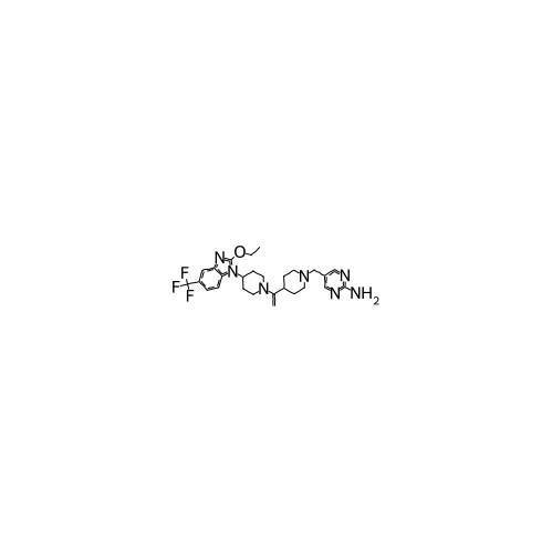 C=C(C1CCN(Cc2cnc(N)nc2)CC1)N1CCC(n2c(OCC)nc3cc(C(F)(F)F)ccc32)CC1